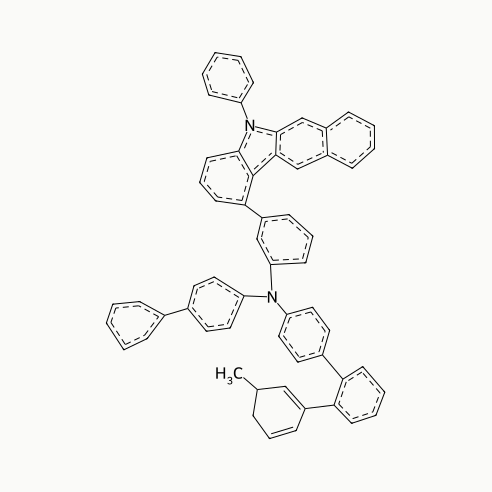 CC1C=C(c2ccccc2-c2ccc(N(c3ccc(-c4ccccc4)cc3)c3cccc(-c4cccc5c4c4cc6ccccc6cc4n5-c4ccccc4)c3)cc2)C=CC1